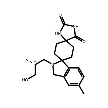 Cc1ccc2c(c1)CN(C[C@@H](C)CO)C21CCC2(CC1)NC(=O)NC2=O